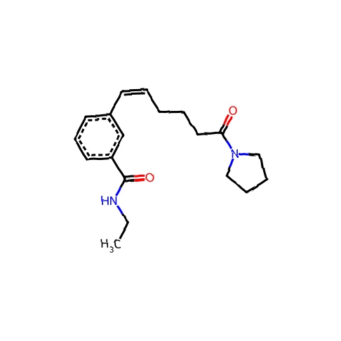 CCNC(=O)c1cccc(/C=C\CCCC(=O)N2CCCC2)c1